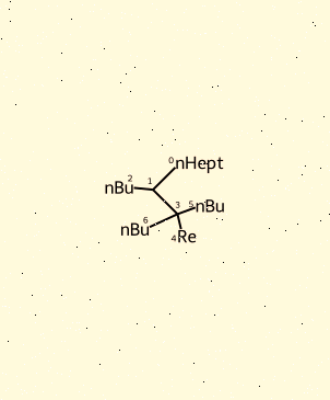 CCCCCCCC(CCCC)[C]([Re])(CCCC)CCCC